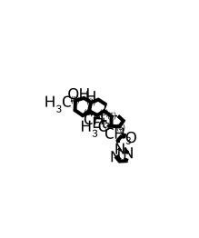 CC[C@H]1[C@H]([C@@H]2CC[C@H](C(=O)Cn3nccn3)C2(C)C)CC[C@@H]2C[C@](C)(O)CC[C@@]21C